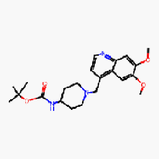 COc1cc2nccc(CN3CCC(NC(=O)OC(C)(C)C)CC3)c2cc1OC